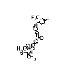 CN1N=C(C2CC3(C2)CN(C(=O)N2CC4(CCN(Cc5ccc(F)cc5C(F)(F)F)C4)C2)C3)[N+](C)(C)C1C1CC1